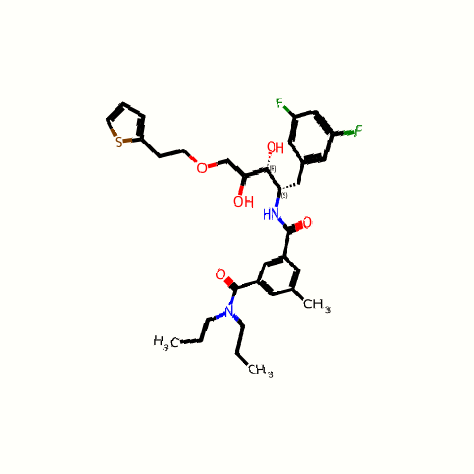 CCCN(CCC)C(=O)c1cc(C)cc(C(=O)N[C@@H](Cc2cc(F)cc(F)c2)[C@@H](O)C(O)COCCc2cccs2)c1